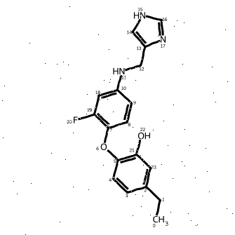 CCc1ccc(Oc2ccc(NCc3c[nH]cn3)cc2F)c(O)c1